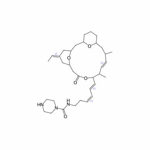 C/C=C1\CC2CC(=O)OC(/C=C/C=C\CCNC(=O)N3CCNCC3)C(C)/C=C/C(C)CC3CCCC(CC(C1)O2)O3